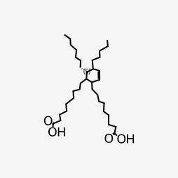 CCCCCCC[C@@H]1C(CCCCC)C=CC(CCCCCCCCC(=O)O)C1CCCCCCCCC(=O)O